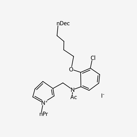 CCCCCCCCCCCCCCOc1c(Cl)cccc1N(Cc1ccc[n+](CCC)c1)C(C)=O.[I-]